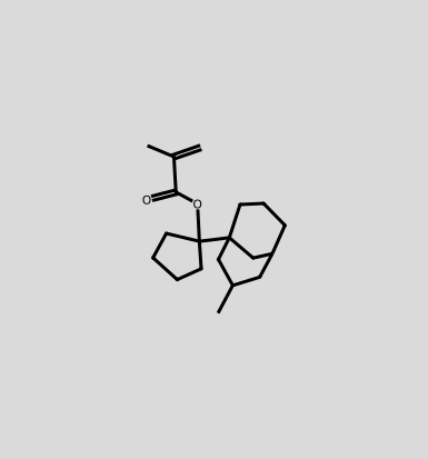 C=C(C)C(=O)OC1(C23CCCC(CC(C)C2)C3)CCCC1